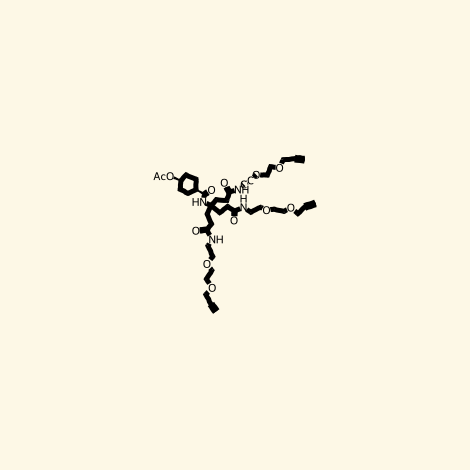 C#CCOCCOCCNC(=O)CCC(CCC(=O)NCCOCCOCC#C)(CCC(=O)NCCOCCOCC#C)NC(=O)[C@H]1CC[C@@H](OC(C)=O)CC1